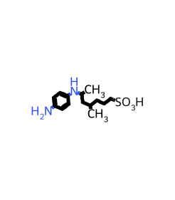 CC(CCCS(=O)(=O)O)CC(C)Nc1ccc(N)cc1